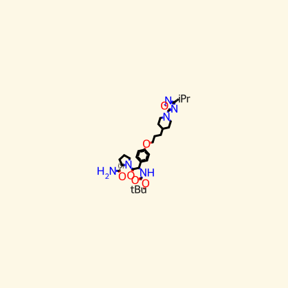 CC(C)c1noc(N2CCC(CCCOc3ccc(C(NC(=O)OC(C)(C)C)C(=O)N4CCC[C@H]4C(N)=O)cc3)CC2)n1